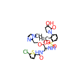 Cc1c(N2CC[C@@H](O)C2=O)cccc1S(=O)(=O)N[C@@H](CNC(=O)c1ccc(Cl)s1)C(=O)OCCc1nccn1C